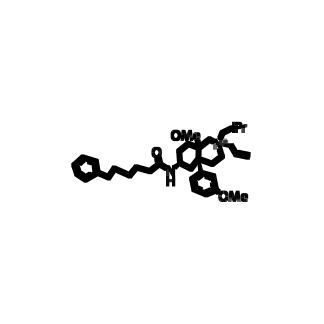 C=CC[N@@+]1(CC(C)C)CC[C@]2(c3cccc(OC)c3)C[C@@H](NC(=O)CCCCCc3ccccc3)CCC2(OC)C1